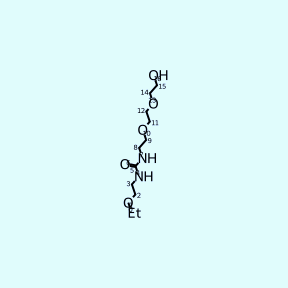 [CH2]COCCNC(=O)NCCOCCOCCO